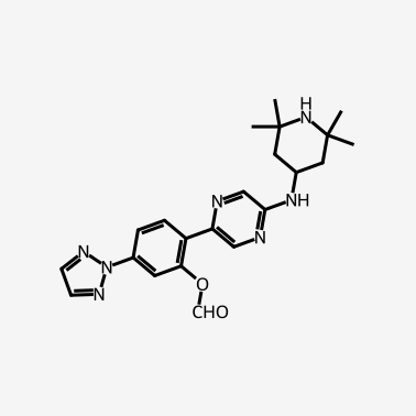 CC1(C)CC(Nc2cnc(-c3ccc(-n4nccn4)cc3OC=O)cn2)CC(C)(C)N1